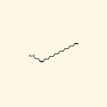 C=CCCCCCCCCCCCC/C=C\CCOC(C)=O